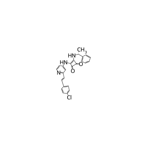 C[C@@H](Nc1c(Nc2ccnc(C=Cc3ccc(Cl)cc3)c2)c(=O)c1=O)c1ccccc1